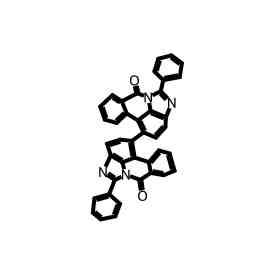 O=c1c2ccccc2c2c(-c3ccc4nc(-c5ccccc5)n5c(=O)c6ccccc6c3c45)ccc3nc(-c4ccccc4)n1c32